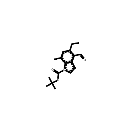 CCc1cc(C)c2c(ccn2C(=O)OC(C)(C)C)c1C=O